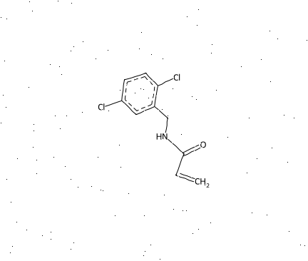 C=CC(=O)NCc1cc(Cl)ccc1Cl